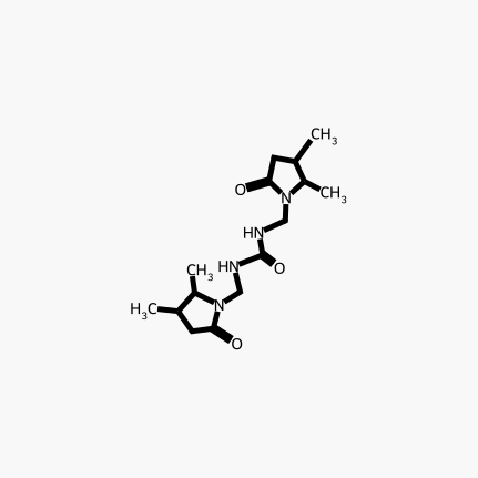 CC1CC(=O)N(CNC(=O)NCN2C(=O)CC(C)C2C)C1C